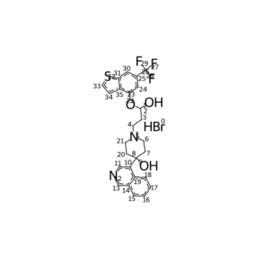 Br.OC(CCN1CCC(O)(c2cncc3ccccc23)CC1)Oc1cc(C(F)(F)F)cc2sccc12